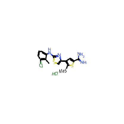 CSc1sc(C(=N)N)cc1-c1csc(Nc2cccc(Cl)c2C)n1.Cl